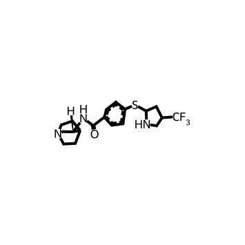 O=C(N[C@H]1CN2CCC1CC2)c1ccc(SC2CC(C(F)(F)F)CN2)cc1